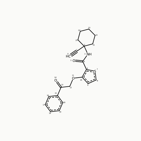 C#CC1(NC(=O)c2sccc2OCC(=O)c2ccccc2)CCCCC1